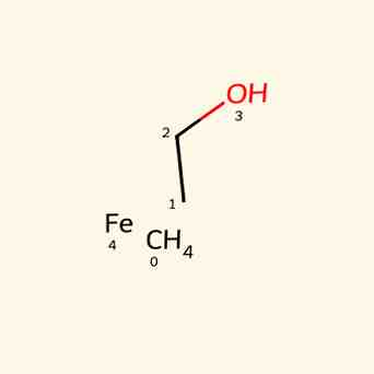 C.CCO.[Fe]